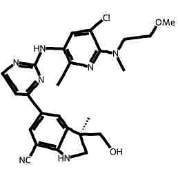 COCCN(C)c1nc(C)c(Nc2nccc(-c3cc(C#N)c4c(c3)[C@@](C)(CO)CN4)n2)cc1Cl